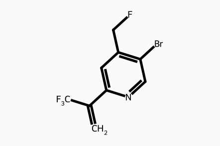 C=C(c1cc(CF)c(Br)cn1)C(F)(F)F